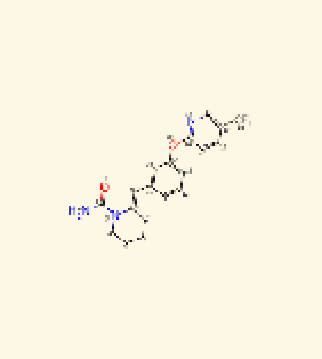 NC(=O)N1CCCCC1=Cc1cccc(Oc2ccc(C(F)(F)F)cn2)c1